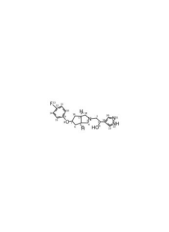 OC(CN1C[C@H]2CC(Oc3ccc(F)cc3)C[C@H]2C1)c1cn[nH]c1